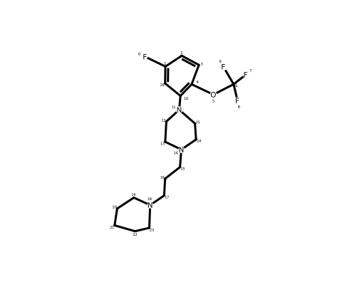 Fc1ccc(OC(F)(F)F)c(N2CCN(CCCN3CCCCC3)CC2)c1